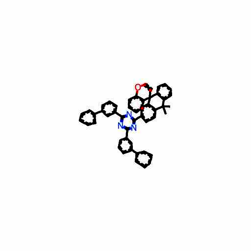 CC1(C)c2ccccc2C2(c3ccccc3Oc3ccccc32)c2cc(-c3nc(-c4cccc(-c5ccccc5)c4)nc(-c4cccc(-c5ccccc5)c4)n3)ccc21